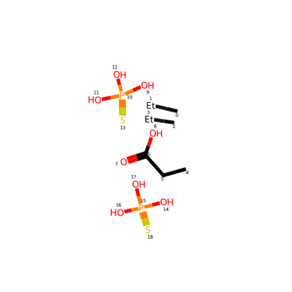 CCC.CCC.CCC(=O)O.OP(O)(O)=S.OP(O)(O)=S